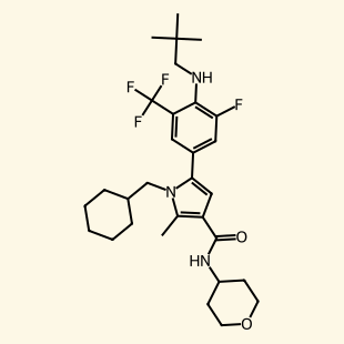 Cc1c(C(=O)NC2CCOCC2)cc(-c2cc(F)c(NCC(C)(C)C)c(C(F)(F)F)c2)n1CC1CCCCC1